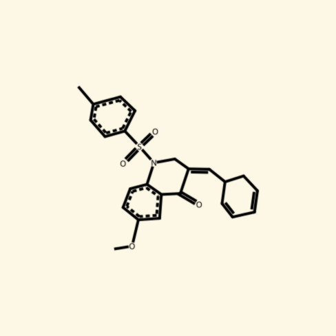 COc1ccc2c(c1)C(=O)C(=CC1C=CC=CC1)CN2S(=O)(=O)c1ccc(C)cc1